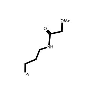 COCC(=O)NCCCC(C)C